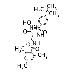 Cc1cc(C)c(S(=O)(=O)NCC(NS(=O)(=O)c2ccc(C(C)(C)C)cc2)C(=O)NO)c(C)c1